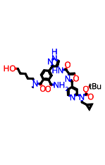 CN(CCCCCO)C(=O)c1ccc(-c2n[nH]cc2NC(=O)c2coc(-c3ccnc(N(CC4CC4)C(=O)OC(C)(C)C)c3)n2)cc1C(N)=O